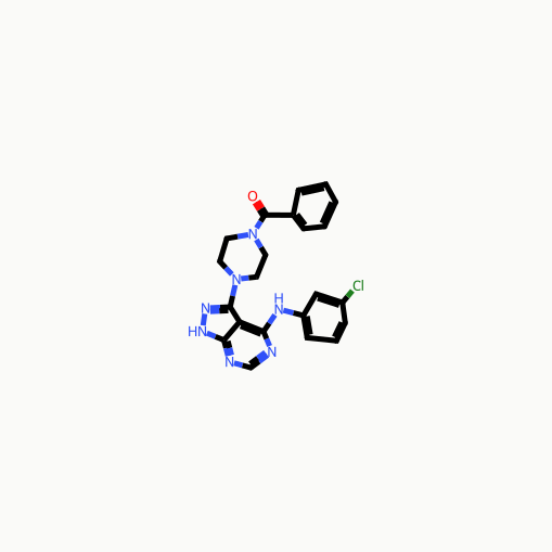 O=C(c1ccccc1)N1CCN(c2n[nH]c3ncnc(Nc4cccc(Cl)c4)c23)CC1